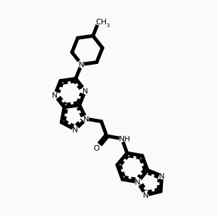 CC1CCN(c2cnc3cnn(CC(=O)Nc4ccn5ncnc5c4)c3n2)CC1